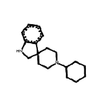 c1ccc2c(c1)NCC21CCN(C2CCCCC2)CC1